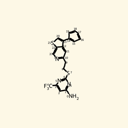 Nc1cc(C(F)(F)F)nc(SCCc2cc3c(-c4ccccc4)csc3cn2)n1